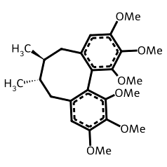 COc1cc2c(c(OC)c1OC)-c1c(cc(OC)c(OC)c1OC)C[C@H](C)[C@@H](C)C2